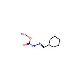 CC(C)(C)OC(=O)NN=CC1CCCCC1